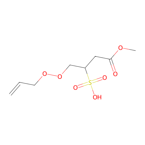 C=CCOOCC(CC(=O)OC)S(=O)(=O)O